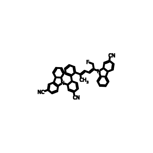 C/C(=C\C=C(/CF)N1c2ccccc2C2C=CC(C#N)=CC21)c1ccccc1C1C=CC(C#N)=CC1N1c2ccc(C#N)cc2C2C=CC=CC21